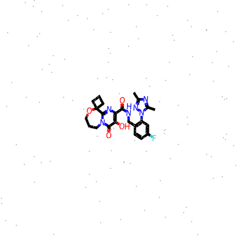 Cc1nc(C)n(-c2cc(F)ccc2CNC(=O)c2nc3n(c(=O)c2O)CCCOC32CCC2)n1